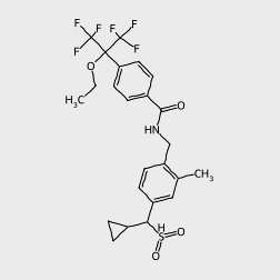 CCOC(c1ccc(C(=O)NCc2ccc(C(C3CC3)[SH](=O)=O)cc2C)cc1)(C(F)(F)F)C(F)(F)F